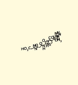 CC(Sc1nnn[nH]1)C1=C(C(=O)O)N2C(=O)C(NC(=O)Cc3nc(CC(=O)O)no3)[C@@H]2SC1